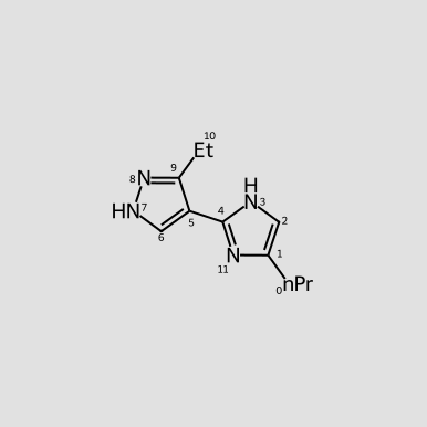 CCCc1c[nH]c(-c2c[nH]nc2CC)n1